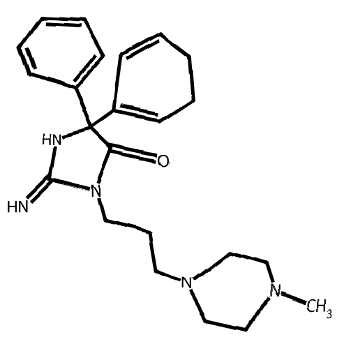 CN1CCN(CCCN2C(=N)NC(C3=CCCC=C3)(c3ccccc3)C2=O)CC1